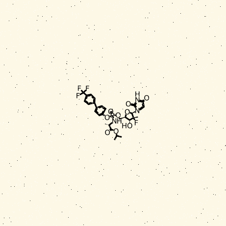 CC(C)OC(=O)[C@H](C)NP(=O)(OC[C@H]1O[C@@H](n2ccc(=O)[nH]c2=O)[C@](C)(F)[C@@H]1O)Oc1ccc(-c2ccc(C(F)(F)F)cc2)cc1